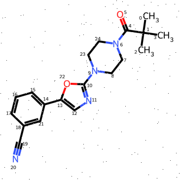 CC(C)(C)C(=O)N1CCN(c2ncc(-c3cccc(C#N)c3)o2)CC1